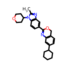 Cc1nc2cc(C3=Nc4cc(C5CCCCC5)ccc4CO3)ccc2n1C1CCOCC1